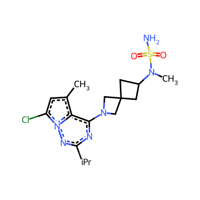 Cc1cc(Cl)n2nc(C(C)C)nc(N3CC4(CC(N(C)S(N)(=O)=O)C4)C3)c12